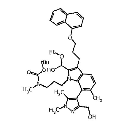 CCOC(O)c1c(CCCOc2cccc3ccccc23)c2ccc(C)c(-c3c(CO)nn(C)c3C)c2n1CCCN(C)C(=O)OC(C)(C)C